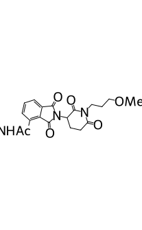 COCCCN1C(=O)CCC(N2C(=O)c3cccc(NC(C)=O)c3C2=O)C1=O